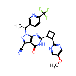 COc1cnc([C@@H]2CC[C@H]2c2nc3c(c(C#N)nn3[C@H](C)c3ccc(C(F)(F)F)nc3)c(=O)[nH]2)nc1